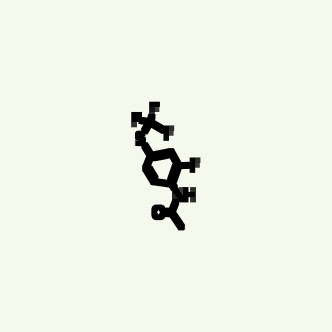 CC(=O)Nc1ccc(SC(F)(F)F)cc1F